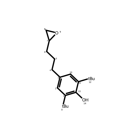 CC(C)(C)c1cc(CCCC2CO2)cc(C(C)(C)C)c1O